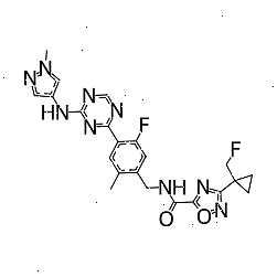 Cc1cc(-c2ncnc(Nc3cnn(C)c3)n2)c(F)cc1CNC(=O)c1nc(C2(CF)CC2)no1